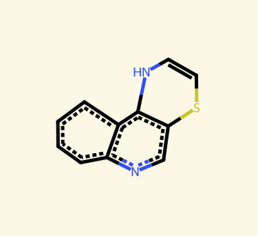 C1=CSc2cnc3ccccc3c2N1